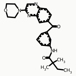 CCC(C)(C)C(=O)Nc1cccc(C(=O)c2ccc3ncc(N4CCOCC4)nc3c2)c1